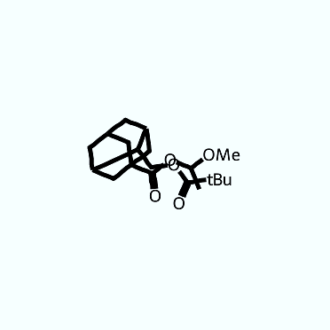 COC(C)OC(=O)C12CC3CC(C1)C(COC(=O)C(C)(C)C)C(C3)C2